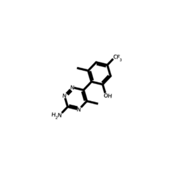 Cc1cc(C(F)(F)F)cc(O)c1-c1nnc(N)nc1C